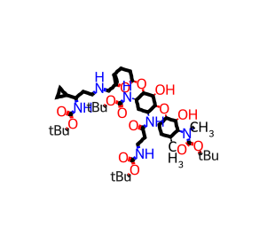 C[C@@H]1CC[C@H](O[C@@H]2[C@@H](O)[C@H](O[C@@H]3CCC=C(CNCCC(NC(=O)OC(C)(C)C)C4CC4)O3)[C@@H](NC(=O)OC(C)(C)C)C[C@H]2NC(=O)CCNC(=O)OC(C)(C)C)[C@H](O)[C@H]1N(C)C(=O)OC(C)(C)C